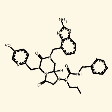 CCCN(C(=O)NCc1ccccc1)N1CC(=O)N2[C@@H](Cc3ccc(O)cn3)C(=O)N(Cc3cccc4sc(N)nc34)C[C@@H]21